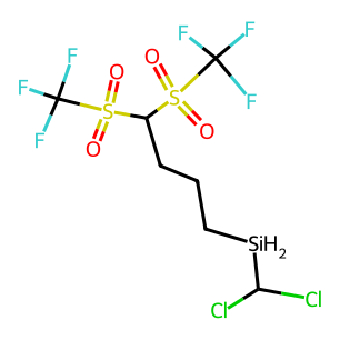 O=S(=O)(C(CCC[SiH2]C(Cl)Cl)S(=O)(=O)C(F)(F)F)C(F)(F)F